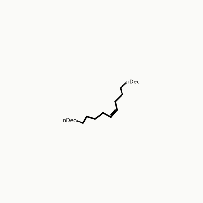 CCCCCCCCCCCCC/C=C\CCCCCCCCCCCCCC